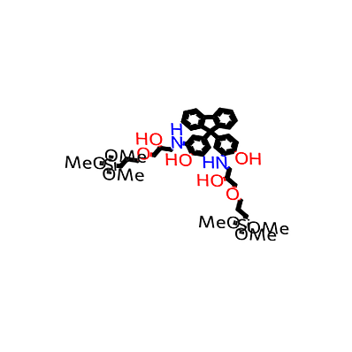 CO[Si](CCCOCC(O)CNc1cc(C2(c3ccc(O)c(NCC(O)COCCC[Si](OC)(OC)OC)c3)c3ccccc3-c3ccccc32)ccc1O)(OC)OC